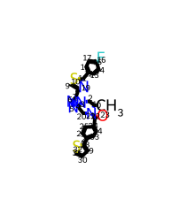 CC1Cn2c(nnc2-c2csc(-c3ccc(F)cc3)n2)CN1C(=O)c1ccc(-c2cccs2)cc1